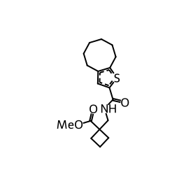 COC(=O)C1(CNC(=O)c2cc3c(s2)CCCCCC3)CCC1